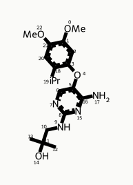 COc1cc(Oc2cnc(NCC(C)(C)O)nc2N)c(C(C)C)cc1OC